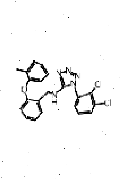 Cc1ccccc1Oc1ccccc1CNc1nnnn1-c1cccc(Cl)c1Cl